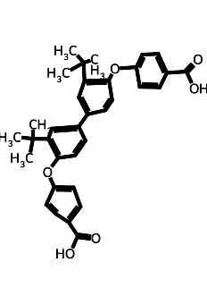 CC(C)(C)c1cc(-c2ccc(Oc3ccc(C(=O)O)cc3)c(C(C)(C)C)c2)ccc1Oc1ccc(C(=O)O)cc1